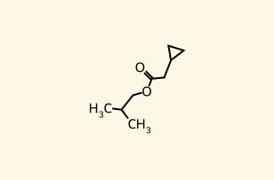 CC(C)COC(=O)CC1CC1